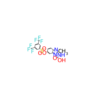 CC1(NC(=O)O)N=c2ccc(OS(=O)(=O)c3cc(C(F)(F)F)cc(C(F)(F)F)c3)cc2=N1